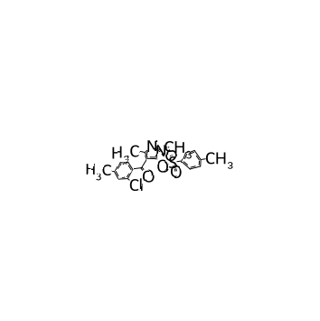 Cc1ccc(S(=O)(=O)Oc2c(C(=O)c3ccc(C)cc3Cl)c(C)nn2C)cc1